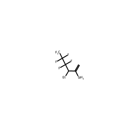 C=C([SiH3])C(CC)C(F)(F)C(F)(F)C(F)(F)F